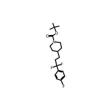 CC(C)(C)OC(=O)N1CCC(CCC(F)(F)c2ccc(F)cc2)CC1